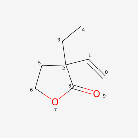 C=CC1(CC)CCOC1=O